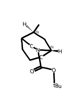 C[C@H]1C[C@@H]2CCCC1CN2C(=O)OC(C)(C)C